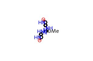 COc1cnc(Nc2ccc3c(c2)CCC(=O)N3)nc1Nc1ccc2c(c1)CCC(=O)N2